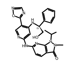 CC(C)n1c2nc(Nc3cc(N[C@H](CO)c4ccccc4)c(-c4ncno4)cn3)ccc2c(=O)n1C